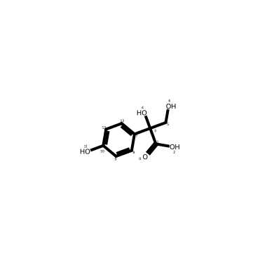 O=C(O)C(O)(CO)c1ccc(O)cc1